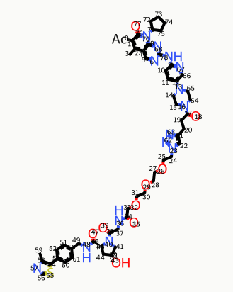 CC(=O)c1c(C)c2cnc(Nc3ccc(N4CCN(C(=O)CCc5cn(CCOCCOCCOCC(=O)NCC(=O)N6C[C@H](O)C[C@H]6C(=O)NCc6ccc(-c7scnc7C)cc6)nn5)CC4)cn3)nc2n(C2CCCC2)c1=O